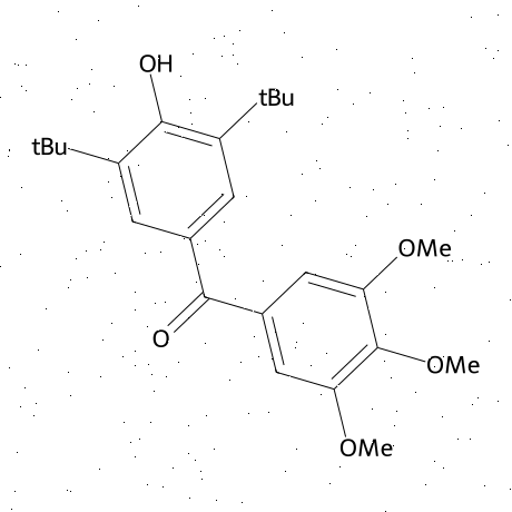 COc1cc(C(=O)c2cc(C(C)(C)C)c(O)c(C(C)(C)C)c2)cc(OC)c1OC